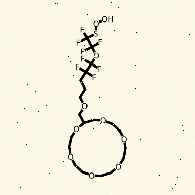 OOSC(F)(F)C(F)(F)OC(F)(F)C(F)(F)CCCOCC1COCCOCCOCCOCCOCCO1